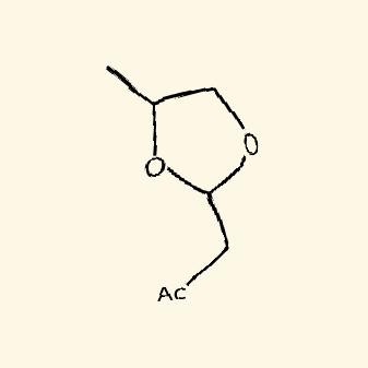 CC(=O)CC1OCC(C)O1